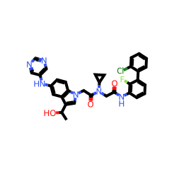 CC(O)c1cn(CC(=O)N(CC(=O)Nc2cccc(-c3ccccc3Cl)c2F)C2CC2)c2ccc(Nc3cncnc3)cc12